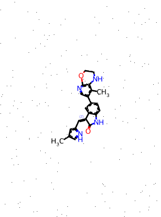 Cc1c[nH]c(/C=C2\C(=O)Nc3ccc(-c4cnc5c(c4C)NCCO5)cc32)c1